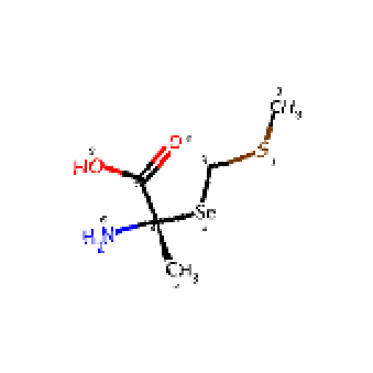 CSC[Se][C@](C)(N)C(=O)O